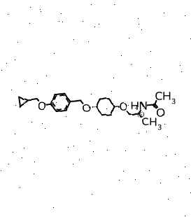 CC(=O)N[C@@H](C)CO[C@H]1CC[C@H](OCc2ccc(OCC3CC3)cc2)CC1